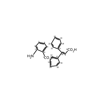 Nc1ccccc1C(=O)O.O=C(O)C=C(c1ccccc1)c1ccccc1